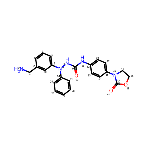 NCc1cccc(N(NC(=O)Nc2ccc(N3CCOC3=O)cc2)c2ccccc2)c1